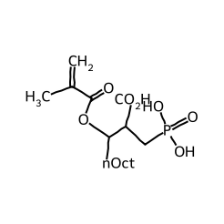 C=C(C)C(=O)OC(CCCCCCCC)C(CP(=O)(O)O)C(=O)O